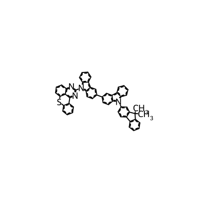 CC1(C)c2ccccc2-c2ccc(-n3c4ccccc4c4cc(-c5ccc6c(c5)c5ccccc5n6-c5nc6c7c(cccc7n5)Sc5ccccc5-6)ccc43)cc21